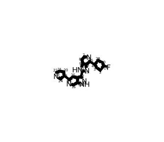 Fc1ccc(-c2nccc3[nH]c(-c4n[nH]c5cnc(-c6cccnc6)cc45)nc23)cc1